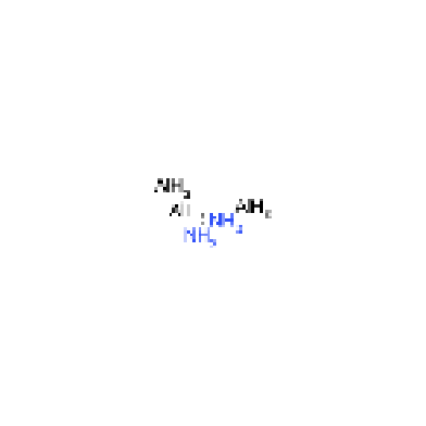 N.N.[AlH3].[AlH3].[AlH3]